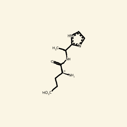 CC(NC(=O)[C@@H](N)CCC(=O)O)c1ncc[nH]1